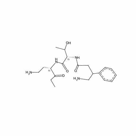 CCC(=O)[C@H](CCN)NC(=O)[C@@H](NC(=O)CC(CN)c1ccccc1)C(C)O